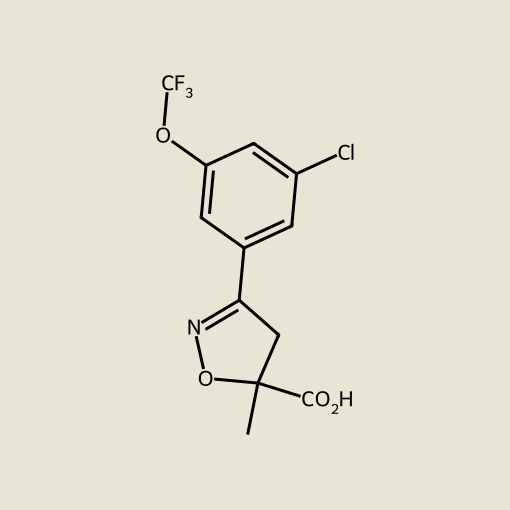 CC1(C(=O)O)CC(c2cc(Cl)cc(OC(F)(F)F)c2)=NO1